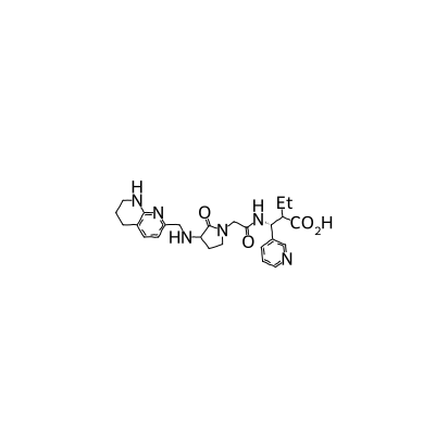 CCC(C(=O)O)[C@@H](NC(=O)CN1CCC(NCc2ccc3c(n2)NCCC3)C1=O)c1cccnc1